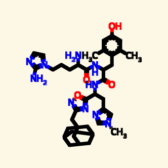 Cc1cc(O)cc(C)c1CC(NC(=O)C(N)CCCn1ccnc1N)C(=O)NC(Cc1cn(C)cn1)c1nc(CC23CC4CC(CC(C4)C2)C3)no1